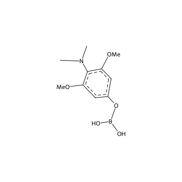 COc1cc(OB(O)O)cc(OC)c1N(C)C